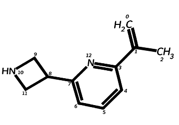 C=C(C)c1cccc(C2CNC2)n1